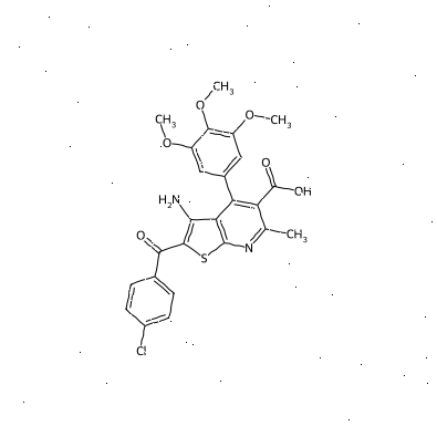 COc1cc(-c2c(C(=O)O)c(C)nc3sc(C(=O)c4ccc(Cl)cc4)c(N)c23)cc(OC)c1OC